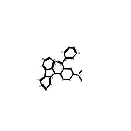 CN(C)C1CCC(C2c3ccccc3-c3ccccc32)C(C(=N)c2ccccc2)C1